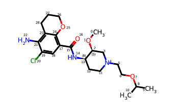 CO[C@H]1CN(CCOC(C)C)CC[C@H]1NC(=O)c1cc(Cl)c(N)c2c1OCCC2